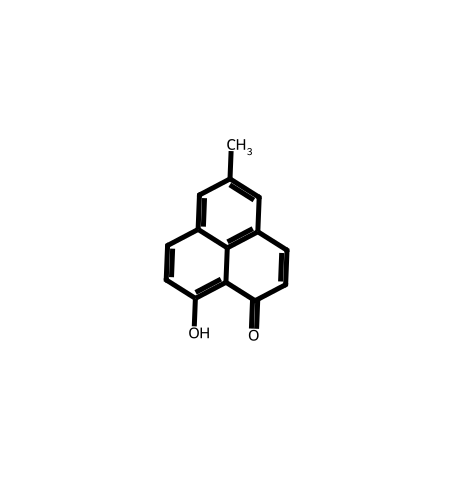 Cc1cc2c3c(c(O)ccc3c1)C(=O)C=C2